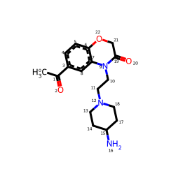 CC(=O)c1ccc2c(c1)N(CCN1CCC(N)CC1)C(=O)CO2